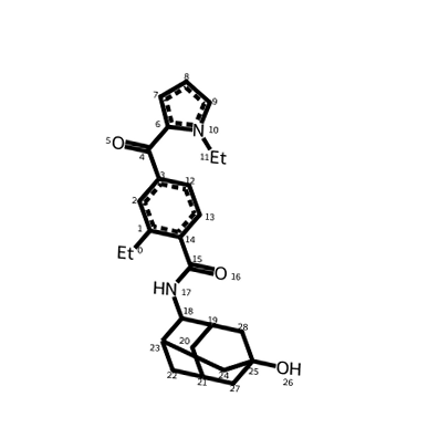 CCc1cc(C(=O)c2cccn2CC)ccc1C(=O)NC1C2CC3CC1CC(O)(C3)C2